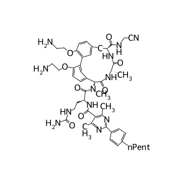 CCCCCc1ccc(-c2nc(C)c(C(=O)N[C@@H](CCNC(N)=O)C(=O)N(C)[C@@H]3C(=O)N[C@@H](C)C(=O)N[C@H](C(=O)NCC#N)Cc4ccc(OCCN)c(c4)-c4cc3ccc4OCCN)c(C)n2)cc1